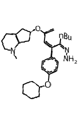 C=C(/C=C(\C(CCCC)=N/N)c1ccc(OC2CCCCC2)cc1)O[C@@H]1CC2CCCN(C)C2C1